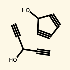 C#CC(O)C#C.OC1C#CC#C1